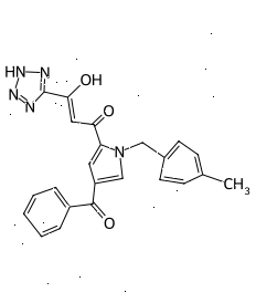 Cc1ccc(Cn2cc(C(=O)c3ccccc3)cc2C(=O)C=C(O)c2nn[nH]n2)cc1